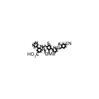 COCCn1c(Cc2cc(F)c(-c3cccc(OCc4ccc(C#N)cc4F)n3)cc2F)nc2c(-c3cncnc3)cc(C(=O)O)cc21